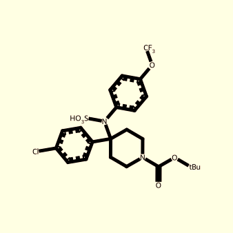 CC(C)(C)OC(=O)N1CCC(c2ccc(Cl)cc2)(N(c2ccc(OC(F)(F)F)cc2)S(=O)(=O)O)CC1